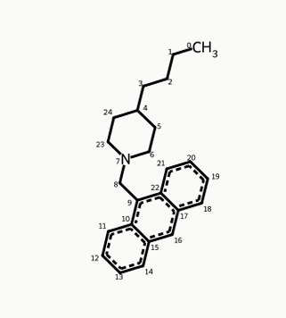 CCCCC1CCN(Cc2c3ccccc3cc3ccccc23)CC1